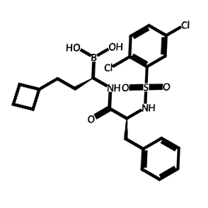 O=C(N[C@@H](CCC1CCC1)B(O)O)[C@H](Cc1ccccc1)NS(=O)(=O)c1cc(Cl)ccc1Cl